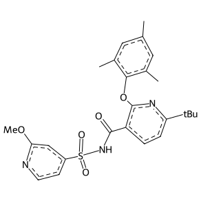 COc1cc(S(=O)(=O)NC(=O)c2ccc(C(C)(C)C)nc2Oc2c(C)cc(C)cc2C)ccn1